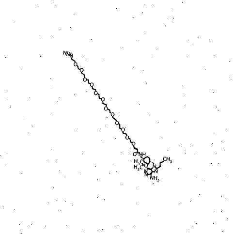 CCCCc1nc2c(N)nnc(OC(C)C)c2n1C[C@H]1CC[C@H](CNC(=O)C=COCCOCCOCCOCCOCCOCCOCCOCCOCCOCCOCCOCCN=[N+]=[N-])CC1